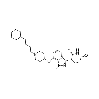 Cn1nc(C2CCC(=O)NC2=O)c2cccc(OC3CCN(CCCCC4CCCCC4)CC3)c21